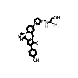 C[C@H](CO)NC[C@H]1CCN(c2ccc3c(c2)Cn2c(cc(-c4ccc(C#N)cc4)c2Cl)-c2nncn2-3)C1